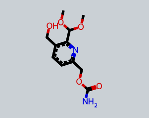 COC(OC)c1nc(COC(N)=O)ccc1CO